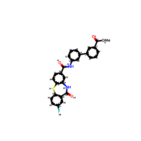 COC(=O)c1cccc(-c2cccc(NC(=O)c3ccc4c(c3)NC(=O)c3cc(F)ccc3S4)c2)c1